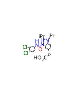 CC(C)CN(CC(C)C)c1ccc([C@H]2C[C@H]2C(=O)O)cc1NC(=O)Nc1ccc(Cl)c(Cl)c1